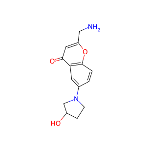 NCc1cc(=O)c2cc(N3CCC(O)C3)ccc2o1